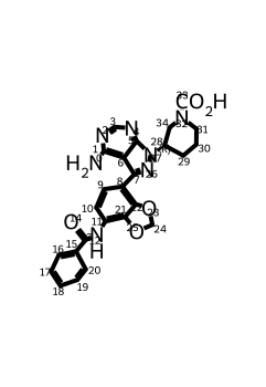 Nc1ncnc2c1c(-c1ccc(NC(=O)c3ccccc3)c3c1OCO3)nn2[C@@H]1CCCN(C(=O)O)C1